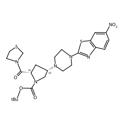 CC(C)(C)OC(=O)N1C[C@@H](N2CCN(c3nc4ccc([N+](=O)[O-])cc4s3)CC2)C[C@H]1C(=O)N1CCSC1